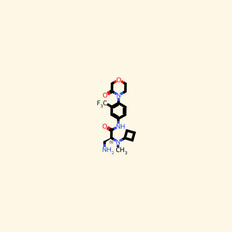 CN(C1CCC1)[C@@H](CN)C(=O)Nc1ccc(N2CCOCC2=O)c(C(F)(F)F)c1